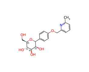 Cc1cccc(COc2ccc(C3O[C@H](CO)[C@@H](O)[C@H](O)[C@@H]3O)cc2)n1